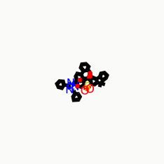 CC1(C)c2ccccc2-c2cc3c(cc21)S(=O)(=O)c1ccccc1C31c2ccccc2-c2ccccc2-c2ccc(-c3nc(-c4ccccc4)nc(-c4ccccc4)n3)cc21